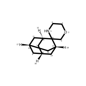 C1COCC2(N1)[C@H]1C[C@H]3C[C@H](C1)C[C@H]2C3